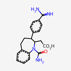 N=C(N)c1ccc(C2CCc3ccccc3N(C(N)=O)C2CC(=O)O)cc1